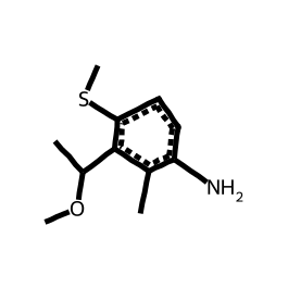 COC(C)c1c(SC)ccc(N)c1C